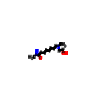 CNC(=O)CCCCCCCN(C)CCO